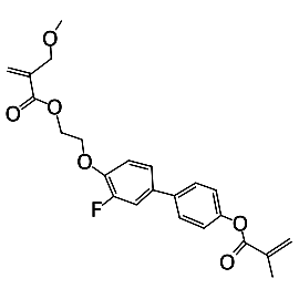 C=C(C)C(=O)Oc1ccc(-c2ccc(OCCOC(=O)C(=C)COC)c(F)c2)cc1